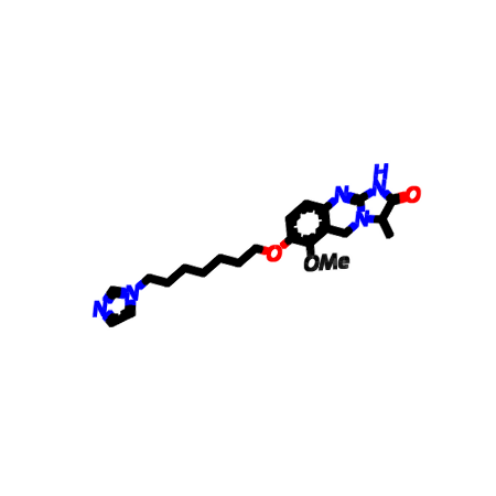 COc1c(OCCCCCCCn2ccnc2)ccc2c1CN1C(=N2)NC(=O)C1C